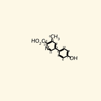 Cc1cc(-c2ccc(O)cc2)cnc1C(=O)O